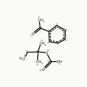 CC(=O)c1ccccc1.CCC(C)(C)OC(=O)O